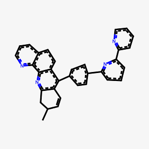 CC1C=Cc2c(nc3c(ccc4cccnc43)c2-c2ccc(-c3cccc(-c4ccccn4)n3)cc2)C1